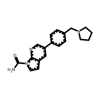 NC(=O)n1c[c]c2cc(-c3ccc(CN4CCCC4)cc3)cnc21